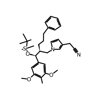 COc1cc([C@@H](O[Si](C)(C)C(C)(C)C)[C@@H](CCCc2ccccc2)Cn2ccc(CC#N)c2)cc(OC)c1C